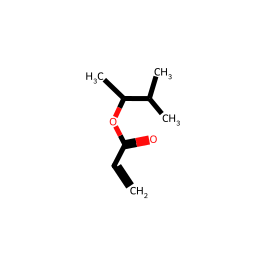 C=CC(=O)OC(C)C(C)C